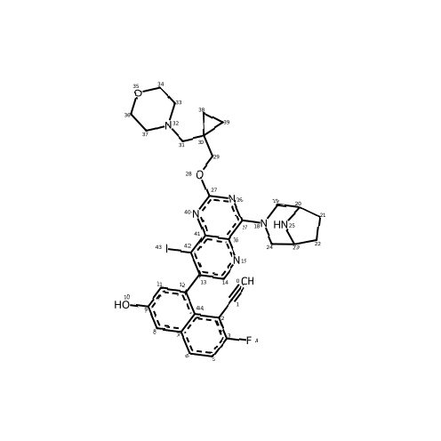 C#Cc1c(F)ccc2cc(O)cc(-c3cnc4c(N5CC6CCC(C5)N6)nc(OCC5(CN6CCOCC6)CC5)nc4c3I)c12